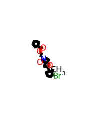 Cc1c(Br)cccc1-c1cc2c(=O)n(CCOC(=O)c3ccccc3)ccc2o1